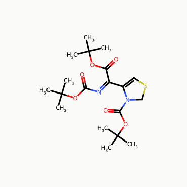 CC(C)(C)OC(=O)N=C(C(=O)OC(C)(C)C)C1=CSCN1C(=O)OC(C)(C)C